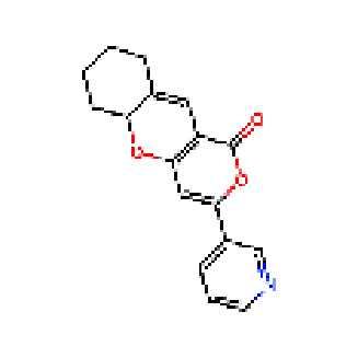 O=c1oc(-c2cccnc2)cc2c1C=C1CCCCC1O2